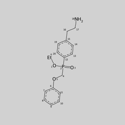 CCOP(=O)(COc1ccccc1)c1ccc(CCN)cc1